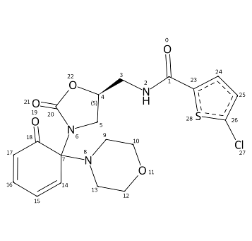 O=C(NC[C@H]1CN(C2(N3CCOCC3)C=CC=CC2=O)C(=O)O1)c1ccc(Cl)s1